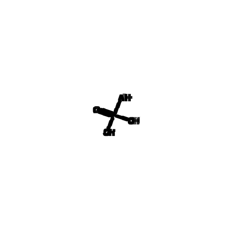 O=[P](O)(O)[AlH]